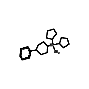 B[PH](C1CCCC1)(C1CCCC1)C1CCC(c2ccccc2)CC1